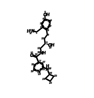 NCc1cc(O)ccc1CC[C@H](O)CNC(=O)c1ccnc(NC2CCC2)c1